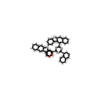 c1ccc(-c2nc(-c3cccc4ccccc34)nc(-c3c4ccccc4cc4oc5ccc(-n6c7ccccc7c7cc8ccccc8cc76)cc5c34)n2)cc1